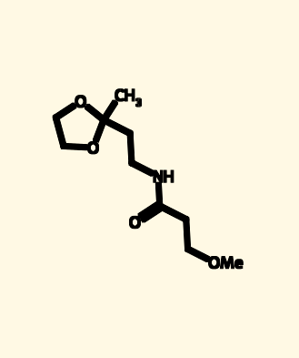 COCCC(=O)NCCC1(C)OCCO1